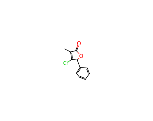 CC1=C(Cl)C(c2ccccc2)OC1=O